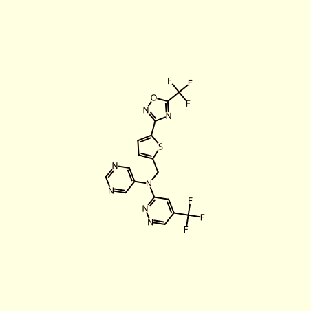 FC(F)(F)c1cnnc(N(Cc2ccc(-c3noc(C(F)(F)F)n3)s2)c2cncnc2)c1